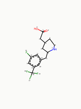 O=C(O)CC1CCNC(Cc2cc(F)cc(C(F)(F)F)c2)C1